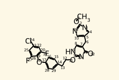 COc1ncc(Cc2c[nH]c(OCCc3ccc(Oc4c(F)cc(Cl)cc4F)cc3)nc2=O)cn1